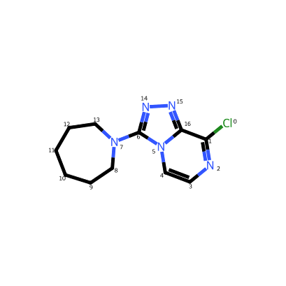 Clc1nccn2c(N3CCCCCC3)nnc12